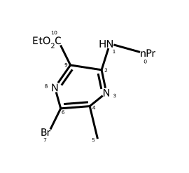 CCCNc1nc(C)c(Br)nc1C(=O)OCC